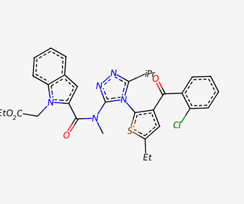 CCOC(=O)Cn1c(C(=O)N(C)c2nnc(C(C)C)n2-c2sc(CC)cc2C(=O)c2ccccc2Cl)cc2ccccc21